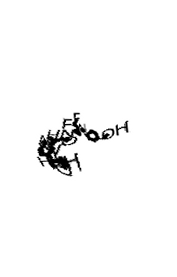 O=C(Nc1cn([C@H]2CC[C@@H](CO)CC2)nc1C(F)F)c1cnn2ccc(N3C[C@@H]4C[C@H]3CO4)nc12